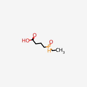 CC[PH](=O)CCCC(=O)O